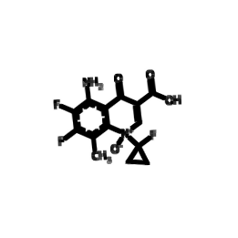 Cc1c(F)c(F)c(N)c2c1[N+]([O-])(C1(F)CC1)C=C(C(=O)O)C2=O